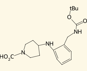 CC(C)(C)OC(=O)NCc1ccccc1NC1CCN(C(=O)O)CC1